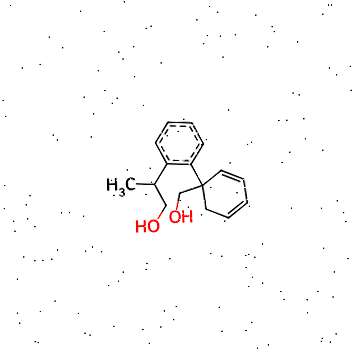 CC(CO)c1ccccc1C1(CO)C=CC=CC1